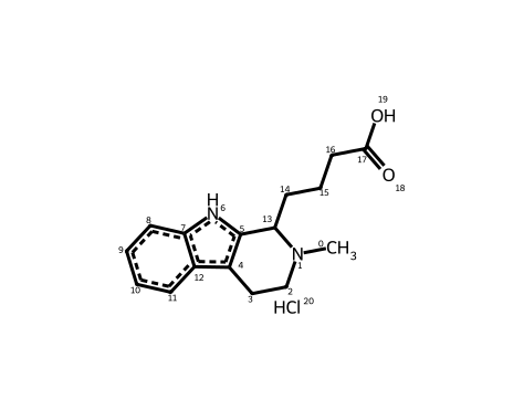 CN1CCc2c([nH]c3ccccc23)C1CCCC(=O)O.Cl